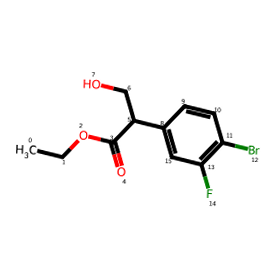 CCOC(=O)C(CO)c1ccc(Br)c(F)c1